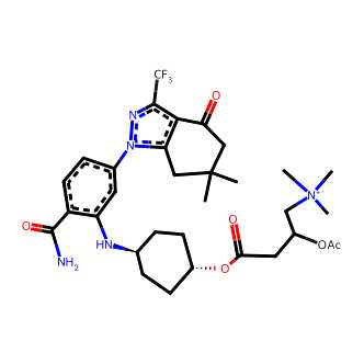 CC(=O)OC(CC(=O)O[C@H]1CC[C@H](Nc2cc(-n3nc(C(F)(F)F)c4c3CC(C)(C)CC4=O)ccc2C(N)=O)CC1)C[N+](C)(C)C